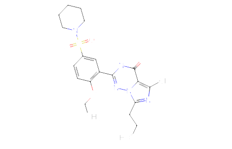 CCCc1nc(C)c2c(=O)[nH]c(-c3cc(S(=O)(=O)N4CCCCC4)ccc3OCC)nn12